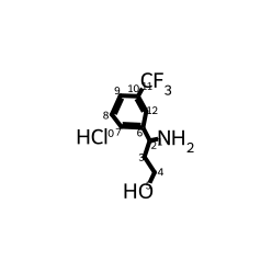 Cl.NC(CCO)c1cccc(C(F)(F)F)c1